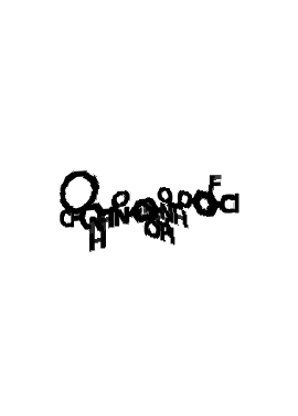 O=C(COc1ccc(Cl)c(F)c1)NC12CCC(NC(=O)C3CC4(CCCCCCCCCC4)C(Cl)CN3)(CC1)C[C@@H]2O